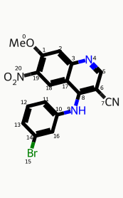 COc1cc2ncc(C#N)c(Nc3cccc(Br)c3)c2cc1[N+](=O)[O-]